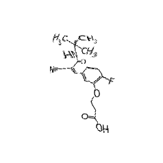 CC(C)(C)NC(=O)C(C#N)=Cc1ccc(F)c(OCCC(=O)O)c1